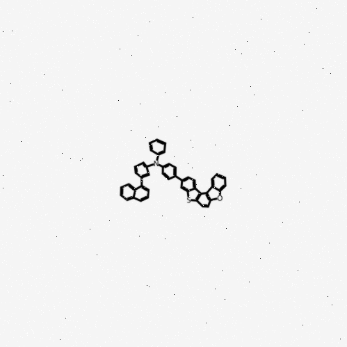 c1ccc(N(c2ccc(-c3ccc4c(c3)sc3ccc5oc6ccccc6c5c34)cc2)c2cccc(-c3cccc4ccccc34)c2)cc1